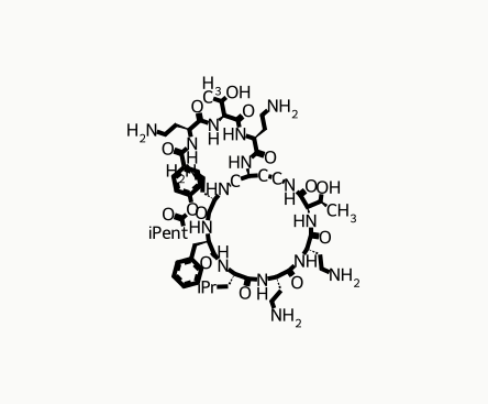 CCCC(C)C(=O)Oc1ccc(C(=O)N[C@@H](CCN)C(=O)N[C@H](C(=O)N[C@@H](CCN)C(=O)N[C@H]2CCNC(=O)[C@H]([C@H](C)O)NC(=O)[C@H](CCN)NC(=O)[C@H](CCN)NC(=O)[C@H](CC(C)C)NC(=O)[C@@H](Cc3ccccc3)NC(=O)[C@H](CCN)NC2)C(C)O)cc1